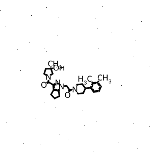 Cc1cccc(C2CCN(C(=O)Cn3nc(C(=O)N4CC[C@](C)(O)C4)c4c3CCC4)CC2)c1C